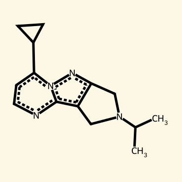 CC(C)N1Cc2nn3c(C4CC4)ccnc3c2C1